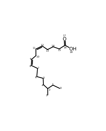 CCC(C)CCCC/C=C\C/C=C\CCCC(=O)O